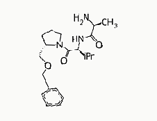 CC(C)[C@H](NC(=O)[C@H](C)N)C(=O)N1CCC[C@H]1COCc1ccccc1